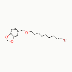 BrCCCCCCCCCOCc1ccc2c(c1)OCO2